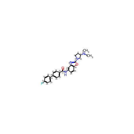 CN(C)[C@@H]1CCN(c2nc3cc(NC(=O)c4ccc(-c5ccc(F)cc5)cc4)ccc3o2)C1